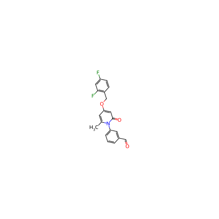 Cc1cc(OCc2ccc(F)cc2F)cc(=O)n1-c1cccc(C=O)c1